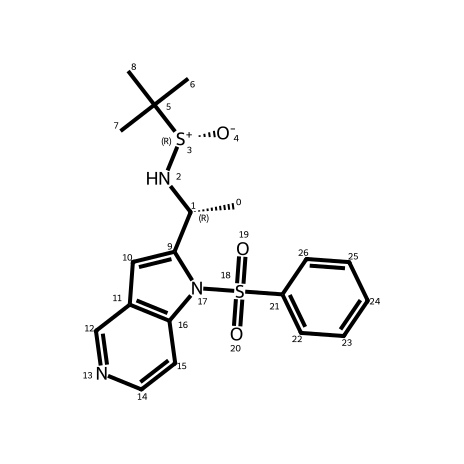 C[C@@H](N[S@@+]([O-])C(C)(C)C)c1cc2cnccc2n1S(=O)(=O)c1ccccc1